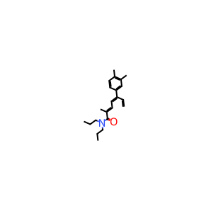 C=C/C(=C\C=C(/C)C(=O)N(CCC)CCC)c1ccc(C)c(C)c1